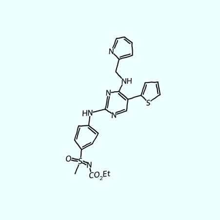 CCOC(=O)N=S(C)(=O)c1ccc(Nc2ncc(-c3cccs3)c(NCc3ccccn3)n2)cc1